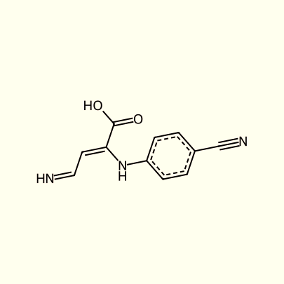 N#Cc1ccc(N/C(=C\C=N)C(=O)O)cc1